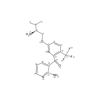 CC(C)[C@H](N)COc1ccc(C(F)(F)F)c(C(=O)c2cccnc2N)n1